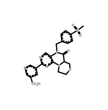 CCOC(=O)c1cncc(-c2ncc3c(n2)N2CCOCC2C(=O)N3Cc2ccc(S(C)(=O)=O)cc2)c1